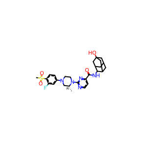 C[C@@H]1CN(c2ccc(S(C)(=O)=O)c(F)c2)CCN1c1nccc(C(=O)NC2C3CC4CC2CC(O)(C4)C3)n1